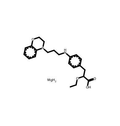 CCOC(Cc1ccc(NCCCN2CCOc3ccccc32)cc1)C(=O)O.[MgH2]